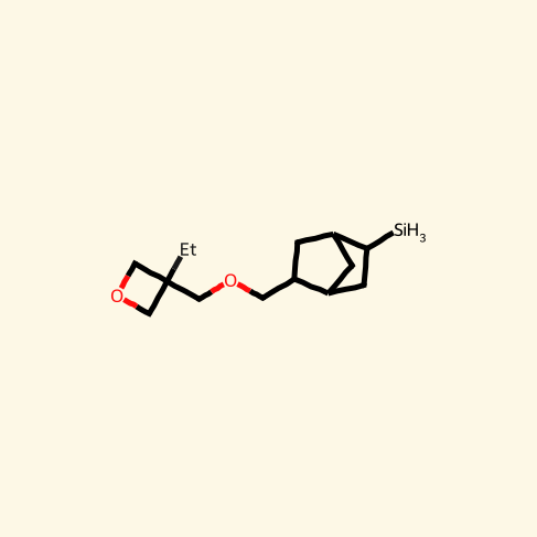 CCC1(COCC2CC3CC2CC3[SiH3])COC1